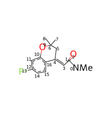 CNC(=O)C=C1CC(C)(C)Oc2cc(F)ccc21